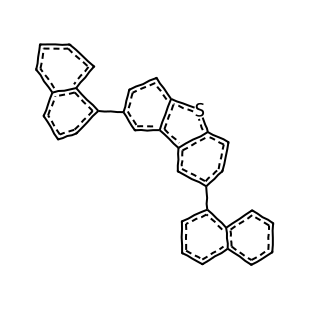 c1ccc2c(-c3ccc4sc5ccc(-c6cccc7ccccc67)cc5c4c3)cccc2c1